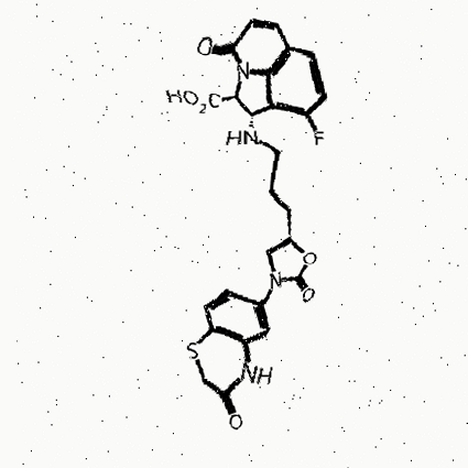 O=C1CSc2ccc(N3C[C@@H](CCCN[C@H]4c5c(F)ccc6ccc(=O)n(c56)[C@@H]4C(=O)O)OC3=O)cc2N1